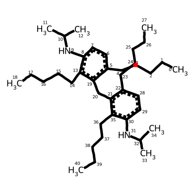 CCCCCc1ccc(NC(C)C)c(CCCCC)c1Cc1c(CCCCC)ccc(NC(C)C)c1CCCCC